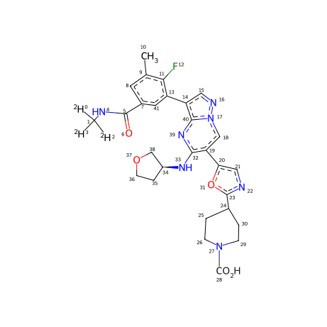 [2H]C([2H])([2H])NC(=O)c1cc(C)c(F)c(-c2cnn3cc(-c4cnc(C5CCN(C(=O)O)CC5)o4)c(N[C@H]4CCOC4)nc23)c1